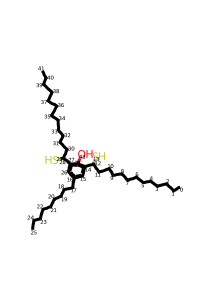 CCCCCCCCCCCCC(S)c1cc(CCCCCCCCC)cc(C(S)CCCCCCCCCCCC)c1O